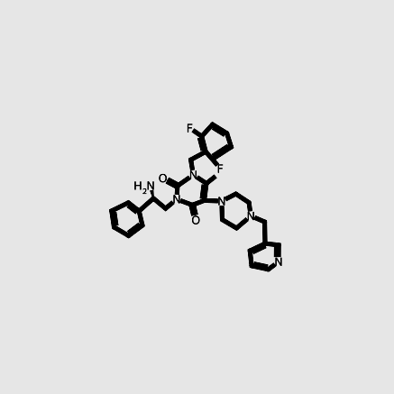 Cc1c(N2CCN(Cc3cccnc3)CC2)c(=O)n(C[C@H](N)c2ccccc2)c(=O)n1Cc1c(F)cccc1F